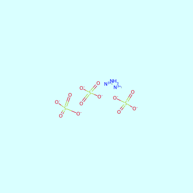 N.O=S(=O)([O-])[O-].O=S(=O)([O-])[O-].O=S(=O)([O-])[O-].[N+3].[N+3]